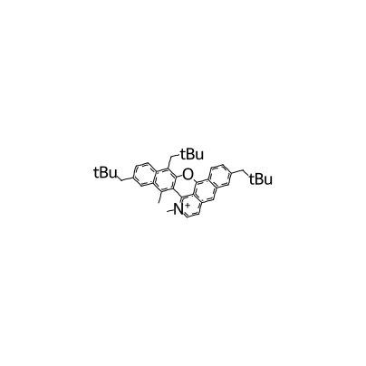 Cc1c2c(c(CC(C)(C)C)c3ccc(CC(C)(C)C)cc13)Oc1c3ccc(CC(C)(C)C)cc3cc3cc[n+](C)c-2c13